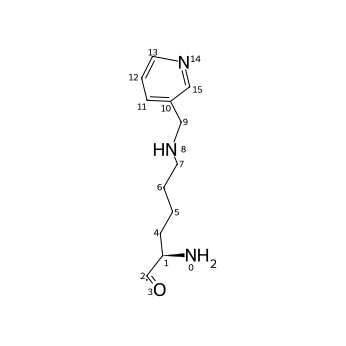 N[C@@H]([C]=O)CCCCNCc1cccnc1